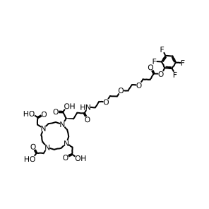 O=C(O)CN1CCN(CC(=O)O)CCN([C@H](CCC(=O)NCCOCCOCCOCCC(=O)Oc2c(F)c(F)cc(F)c2F)C(=O)O)CCN(CC(=O)O)CC1